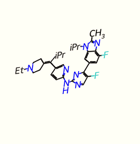 CCN1CCC(=C(c2ccc(Nc3ncc(F)c(-c4cc(F)c5nc(C)n(C(C)C)c5c4)n3)nc2)C(C)C)CC1